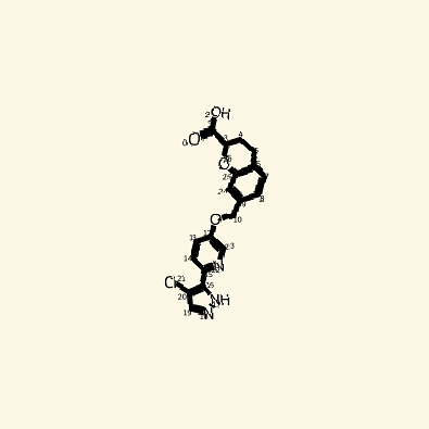 O=C(O)C1CCc2ccc(COc3ccc(-c4[nH]ncc4Cl)nc3)cc2O1